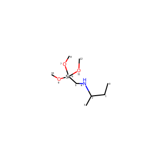 CCC(C)NC[Si](OC)(OC)OC